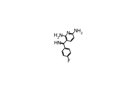 N=C(c1ccc(F)cc1)c1ccc(N)nc1N